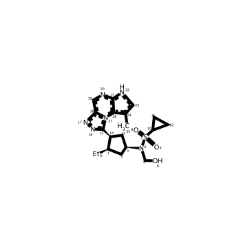 CC[C@@H]1C[C@H](N(CO)S(=O)(=O)C2CC2)C[C@@H]1c1nnc2cnc3[nH]cc(C)c3n12